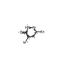 CCc1cc(Br)c(=O)[nH]n1